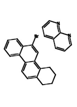 Brc1cc2c3c(ccc2c2ccccc12)CCCC3.c1cnc2ncccc2c1